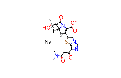 C[C@@H](O)[C@H]1C(=O)N2C(C(=O)[O-])=C(c3cn4cnc(C(=O)CC(=O)N(C)C)c4s3)[C@H](C)[C@H]12.[Na+]